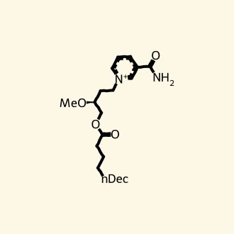 CCCCCCCCCCCCCC(=O)OC[C@H](CC[n+]1cccc(C(N)=O)c1)OC